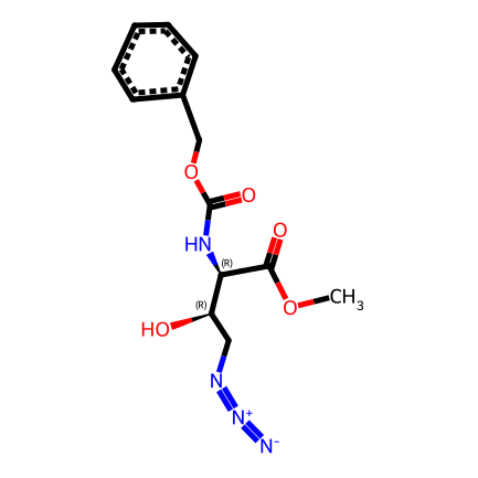 COC(=O)[C@H](NC(=O)OCc1ccccc1)[C@H](O)CN=[N+]=[N-]